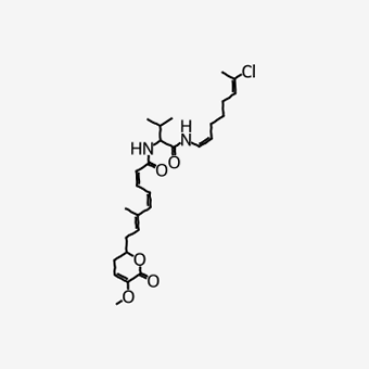 COC1=CCC(C/C=C(C)/C=C\C=C/C(=O)NC(C(=O)N/C=C\CCC/C=C(\C)Cl)C(C)C)OC1=O